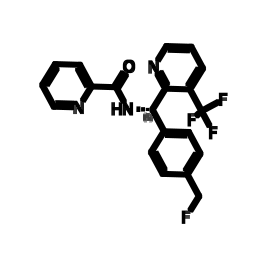 O=C(N[C@@H](c1ccc(CF)cc1)c1ncccc1C(F)(F)F)c1ccccn1